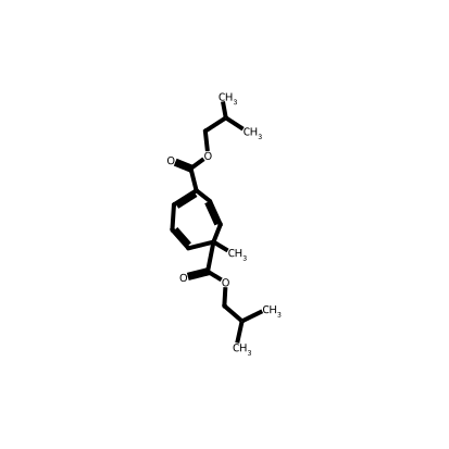 CC(C)COC(=O)C1=CC=CC(C)(C(=O)OCC(C)C)C=C1